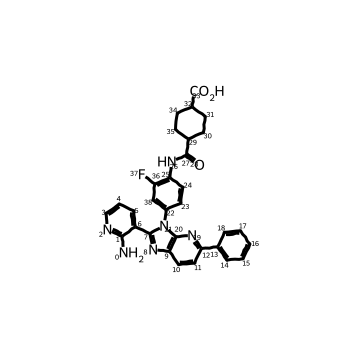 Nc1ncccc1-c1nc2ccc(-c3ccccc3)nc2n1-c1ccc(NC(=O)C2CCC(C(=O)O)CC2)c(F)c1